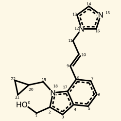 OCc1cc2cccc(C=CCn3ccnc3)c2n1CC1CC1